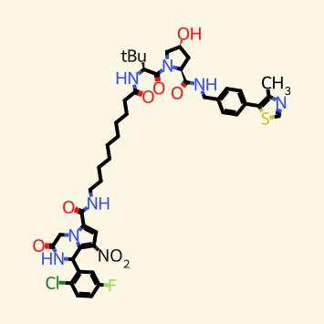 Cc1ncsc1-c1ccc(CNC(=O)[C@@H]2C[C@@H](O)CN2C(=O)[C@@H](NC(=O)CCCCCCCCCNC(=O)c2cc([N+](=O)[O-])c3n2CC(=O)NC3c2cc(F)ccc2Cl)C(C)(C)C)cc1